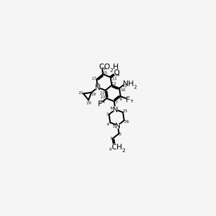 C=CCN1CCN(c2c(F)c(N)c3c(=O)c(C(=O)O)cn(C4CC4)c3c2F)CC1